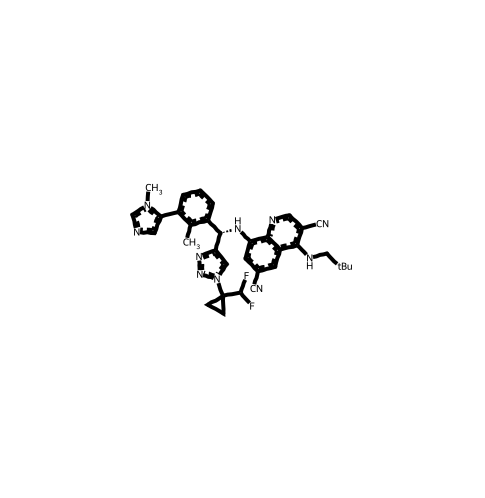 Cc1c(-c2cncn2C)cccc1[C@H](Nc1cc(C#N)cc2c(NCC(C)(C)C)c(C#N)cnc12)c1cn(C2(C(F)F)CC2)nn1